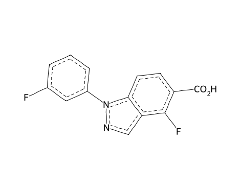 O=C(O)c1ccc2c(cnn2-c2cccc(F)c2)c1F